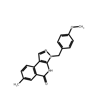 COc1ccc(Cn2ncc3c4ccc(C)cc4c(=O)[nH]c32)cc1